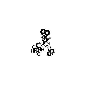 CCc1cccc2cccc(-c3ncc4c(N5CCCC6(C5)NC(=O)NC6=O)nc(OCC56CCCN5CCC6)nc4c3F)c12